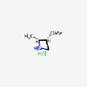 CO[C@@H]1CN[C@@H]1C.Cl